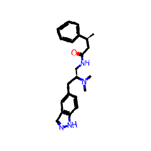 C[C@@H](CC(=O)NC[C@H](Cc1ccc2[nH]ncc2c1)N(C)C)c1ccccc1